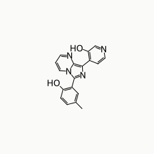 Cc1ccc(O)c(-c2nc(-c3ccncc3O)c3ncccn23)c1